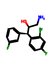 NC[C@H](O)[C@H](c1cccc(F)c1)c1ccc(F)cc1Br